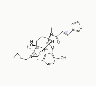 Cc1ccc(O)c2c1[C@]13CC4[C@@H](N4CC4CC4)[C@]1(O)CC[C@@H](N(C)C(=O)/C=C/c1ccoc1)[C@@H]3O2